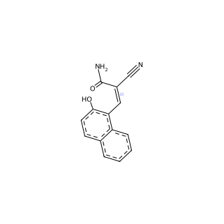 N#C/C(=C/c1c(O)ccc2ccccc12)C(N)=O